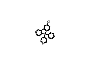 Clc1ccc2c(c1)-c1ccccc1C2(c1ccccc1)c1ccncc1